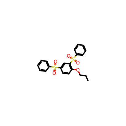 CCCOc1ccc(S(=O)(=O)c2ccccc2)cc1S(=O)(=O)c1ccccc1